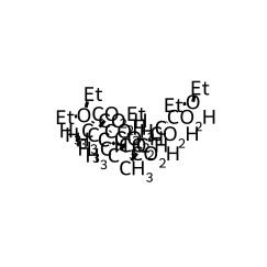 CC(=O)O.CC(=O)O.CC(=O)O.CC(=O)O.CC(=O)O.CC(=O)O.CC(=O)O.CCOC(C)=O.CCOCC.CCOCC